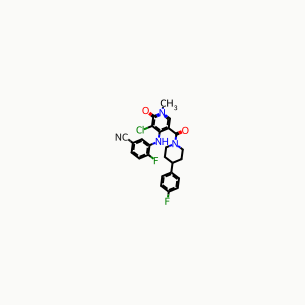 Cn1cc(C(=O)N2CCC(c3ccc(F)cc3)CC2)c(Nc2cc(C#N)ccc2F)c(Cl)c1=O